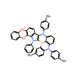 CC(C)(C)c1ccc(N2c3ccc(C(C)(C)C)cc3B3c4c2cccc4N(c2ccc(C(C)(C)C)cc2)c2c3n(-c3ccccc3)c3c4c(ccc23)Oc2ccccc2O4)cc1